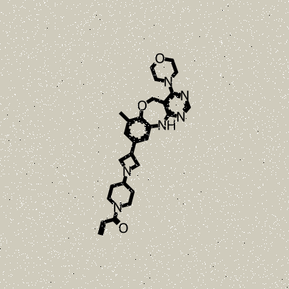 C=CC(=O)N1CCC(N2CC(c3cc(C)c4c(c3)Nc3ncnc(N5CCOCC5)c3CO4)C2)CC1